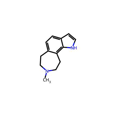 CN1CCc2ccc3cc[nH]c3c2CC1